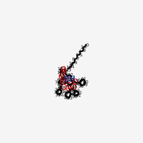 CCCCCCCCCCCCCC[C@H]1OC(C)(C)O[C@H]1[C@H](/C=C\[C@H]1OC(COCc2ccccc2)[C@H](OCc2ccccc2)[C@@H](OCc2ccccc2)C1OCc1ccccc1)NC(=O)OC(C)(C)C